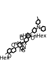 CCCCCCOc1c(C)ccc2c(OCCCCCC)c(-c3ccc(-c4ccc5c(OCCCCCC)c(-c6ccc(N(c7ccccc7)c7ccc(C)cc7)cc6)ccc5c4OCCCCCC)c4nsnc34)ccc12